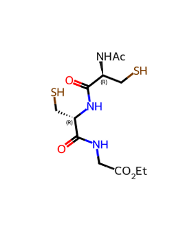 CCOC(=O)CNC(=O)[C@H](CS)NC(=O)[C@H](CS)NC(C)=O